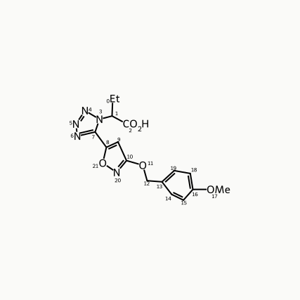 CCC(C(=O)O)n1nnnc1-c1cc(OCc2ccc(OC)cc2)no1